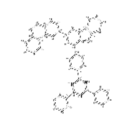 c1ccc(-c2nc(-c3ccccc3)nc(-c3ccc(-c4cc(-c5ccc6ccc7ncccc7c6c5)cc5c4sc4ccccc45)cc3)n2)cc1